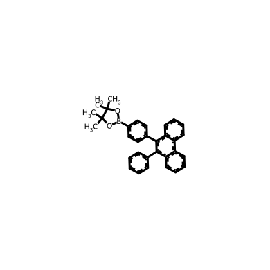 CC1(C)OB(c2ccc(-c3c(-c4ccccc4)c4ccccc4c4ccccc34)cc2)OC1(C)C